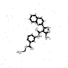 CCOC(=O)c1cccc(NC(=O)c2c(-c3ccc4ccccc4n3)noc2N)c1